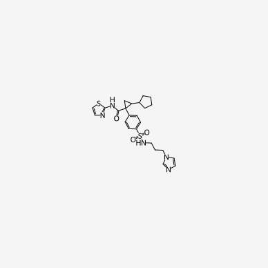 O=C(Nc1nccs1)C1(c2ccc(S(=O)(=O)NCCCn3ccnc3)cc2)CC1C1CCCC1